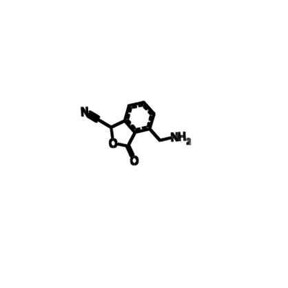 N#CC1OC(=O)c2c(CN)cccc21